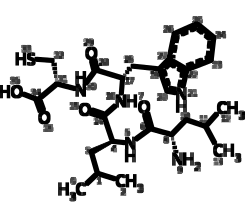 CC(C)C[C@H](NC(=O)[C@@H](N)CC(C)C)C(=O)N[C@@H](Cc1c[nH]c2ccccc12)C(=O)N[C@@H](CS)C(=O)O